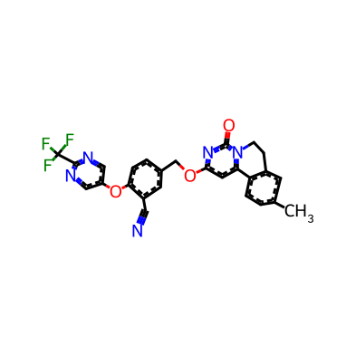 Cc1ccc2c(c1)CCn1c-2cc(OCc2ccc(Oc3cnc(C(F)(F)F)nc3)c(C#N)c2)nc1=O